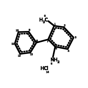 Cc1cccc(N)c1-c1ccccc1.Cl